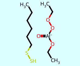 CCCCCCSS.CCO[O][Al-](=[O])[O]CC